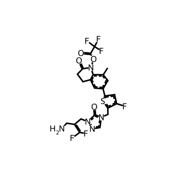 Cc1cc(-c2cc(F)c(Cn3cnn(CC(CN)=C(F)F)c3=O)s2)cc2c1N(OC(=O)C(F)(F)F)C(=O)CC2